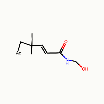 CC(=O)CC(C)(C)C=CC(=O)NCO